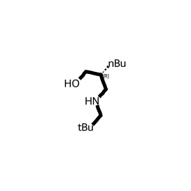 CCCC[C@@H](CO)CNCC(C)(C)C